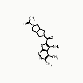 CC(=O)N1CC2CN(C(=O)c3sc4nnc(C)c(C)c4c3N)CC2C1